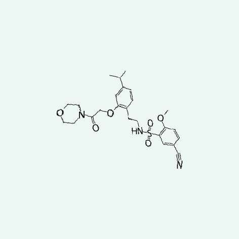 COc1ccc(C#N)cc1S(=O)(=O)NCCc1ccc(C(C)C)cc1OCC(=O)N1CCOCC1